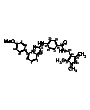 COc1ccc(-c2cccc3nc(Nc4ccc(C(=O)NCc5c(C)nn(C)c5C)cc4)nn23)cc1